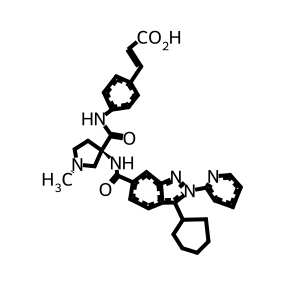 CN1CC[C@](NC(=O)c2ccc3c(C4CCCCC4)n(-c4ccccn4)nc3c2)(C(=O)Nc2ccc(/C=C/C(=O)O)cc2)C1